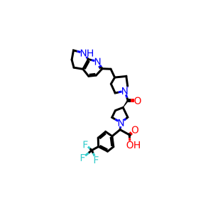 O=C(O)C(c1ccc(C(F)(F)F)cc1)N1CC[C@@H](C(=O)N2CCC(Cc3ccc4c(n3)NCCC4)CC2)C1